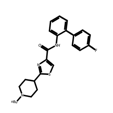 CCCCN1CCC(c2nc(C(=O)Nc3ccccc3-c3ccc(F)cc3)cs2)CC1